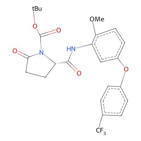 COc1ccc(Oc2ccc(C(F)(F)F)cc2)cc1NC(=O)[C@@H]1CCC(=O)N1C(=O)OC(C)(C)C